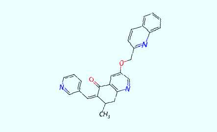 CC1Cc2ncc(OCc3ccc4ccccc4n3)cc2C(=O)C1=Cc1cccnc1